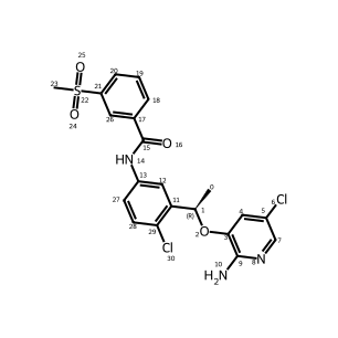 C[C@@H](Oc1cc(Cl)cnc1N)c1cc(NC(=O)c2cccc(S(C)(=O)=O)c2)ccc1Cl